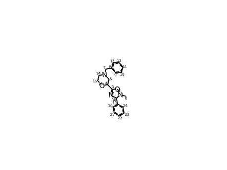 CN1OC(C2CN(Cc3ccccc3)CCO2)=NC1c1ccccc1